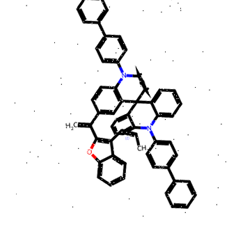 C=C(c1ccc2c(c1)C1(c3ccccc3N(c3ccc(-c4ccccc4)cc3)c3ccccc31)c1ccccc1N2c1ccc(-c2ccccc2)cc1)c1oc2ccccc2c1/C=C\C